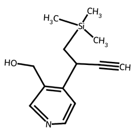 C#CC(C[Si](C)(C)C)c1ccncc1CO